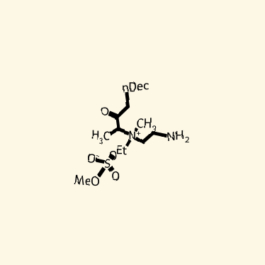 CCCCCCCCCCCC(=O)C(C)[N+](C)(CC)CCN.COS(=O)(=O)[O-]